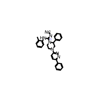 Cc1ccccc1N/C(=N\C#N)N1CCN(c2ccc(-c3ccccc3)nn2)CC1c1ccccc1